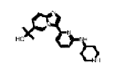 CC(C)(O)c1ccc2ncc(-c3cccc(NC4CCNCC4)n3)n2c1